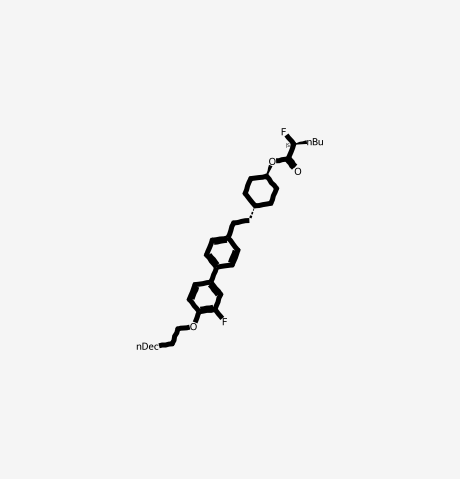 CCCCCCCCCCCCOc1ccc(-c2ccc(CC[C@H]3CC[C@H](OC(=O)[C@@H](F)CCCC)CC3)cc2)cc1F